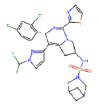 O=S(=O)(NC1CC2=C(c3ccn(C(F)F)n3)[C@H](c3ccc(F)cc3Cl)N=C(c3nccs3)N2C1)N1CC2CC(C2)C1